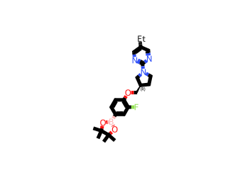 CCc1cnc(N2CC[C@@H](COc3ccc(B4OC(C)(C)C(C)(C)O4)cc3F)C2)nc1